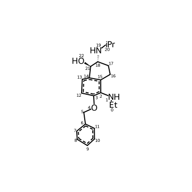 CCNc1c(OCc2ccccc2)ccc2c1CC[C@@H](NC(C)C)[C@@H]2O